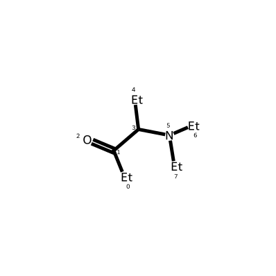 CCC(=O)C(CC)N(CC)CC